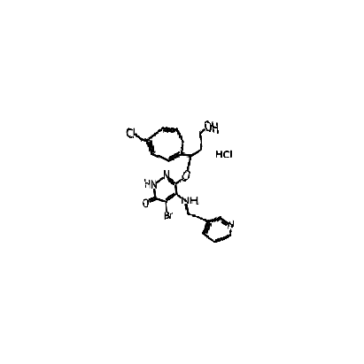 Cl.O=c1[nH]nc(OC(CCO)c2ccc(Cl)cc2)c(NCc2cccnc2)c1Br